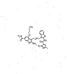 CCn1nc(C)cc1C(=O)Nc1nc2ccccc2n1C/C=C/Cn1c(N)nc2cc(C(N)=O)cc(OCCCO)c21